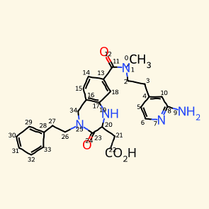 CN(CCc1ccnc(N)c1)C(=O)c1ccc2c(c1)NC(CC(=O)O)C(=O)N(CCc1ccccc1)C2